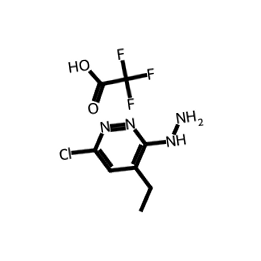 CCc1cc(Cl)nnc1NN.O=C(O)C(F)(F)F